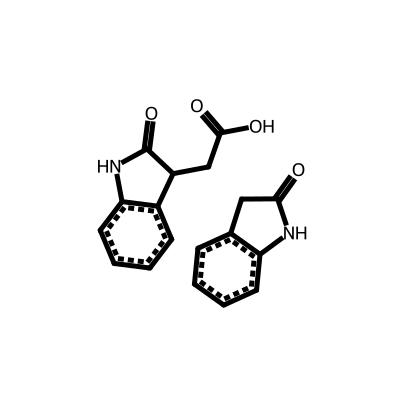 O=C(O)CC1C(=O)Nc2ccccc21.O=C1Cc2ccccc2N1